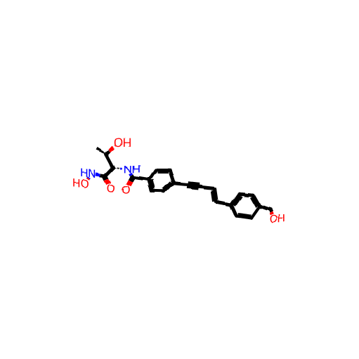 C[C@@H](O)[C@H](NC(=O)c1ccc(C#C/C=C/c2ccc(CO)cc2)cc1)C(=O)NO